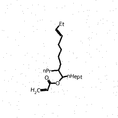 C=CC(=O)OC(CCCCCCC)C(CCC)CCCCC=CCC